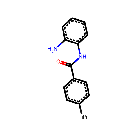 CC(C)c1ccc(C(=O)Nc2ccccc2N)cc1